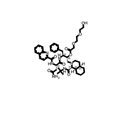 CC(C)(C)NC(=O)[C@@H]1[C@@H]2CCCC[C@@H]2CCN1C[C@@H](OC(=O)COCCOCCO)[C@H](Cc1ccccc1)NC(=O)[C@H](CC(N)=O)NC(=O)c1ccc2ccccc2n1